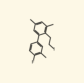 Cc1cc(C)c(CCI)c(-c2ccc(F)c(C)c2)c1